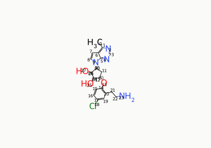 Cc1ncnc2c1ccn2[C@@H]1C[C@H](Oc2ccc(Cl)cc2CCN)[C@@H](O)[C@H]1O